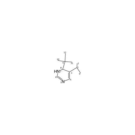 CC(C)C1=CN=CNC1C(C)(C)C